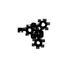 CC(C)c1ccc(C2(OC(=O)c3ccccc3)C(=O)C3=CCCC=C3C2=O)c(O)c1